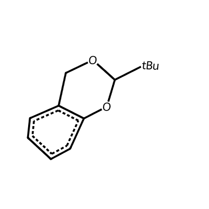 CC(C)(C)C1OCc2ccccc2O1